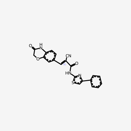 N#C/C(=C\c1ccc2c(c1)OCC(=O)N2)C(=O)Nc1nc(-c2ccccc2)cs1